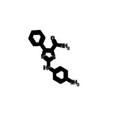 Bc1ccc(Nc2nc(-c3ccccc3)c(C(N)=O)s2)cc1